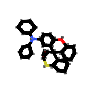 c1ccc(N(c2ccccc2)c2ccc3c(c2)[Si]2(c4ccccc4O3)c3ccccc3Sc3ccccc32)cc1